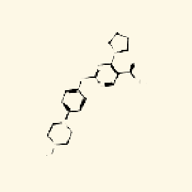 CC(=O)N1CCN(c2ccc(Nc3ncc(C(N)=O)c(N4CCCC4)n3)cc2)CC1